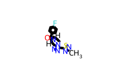 Cc1nsc(-c2nnc3n2C[C@@H]2CC[C@H]3N2C(=O)c2ccc(F)cc2)n1